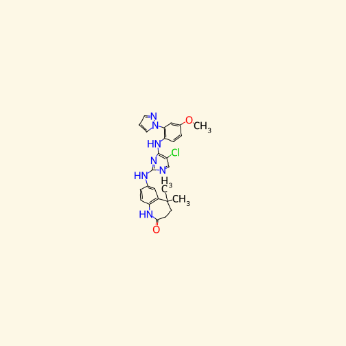 COc1ccc(Nc2nc(Nc3ccc4c(c3)C(C)(C)CCC(=O)N4)ncc2Cl)c(-n2cccn2)c1